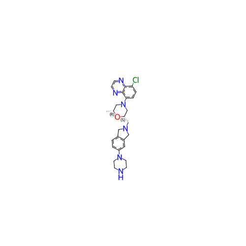 C[C@@H]1CN(c2ccc(Cl)c3nccnc23)C[C@H](CN2Cc3ccc(N4CCNCC4)cc3C2)O1